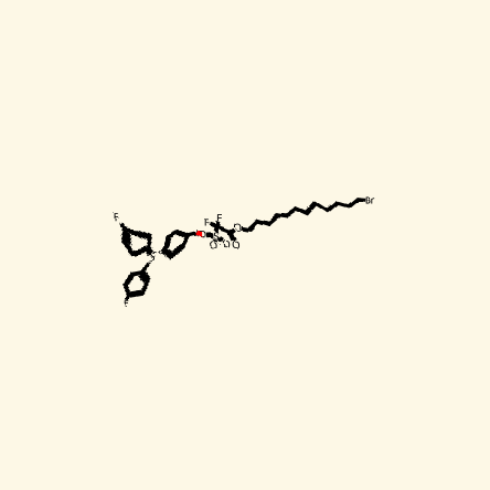 Fc1ccc([S+](c2ccc(F)cc2)c2ccc(F)cc2)cc1.O=C(OCCCCCCCCCCCCBr)C(F)(F)S(=O)(=O)[O-]